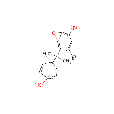 CCc1cc(O)c2c(c1C(C)(C)c1ccc(O)cc1)O2